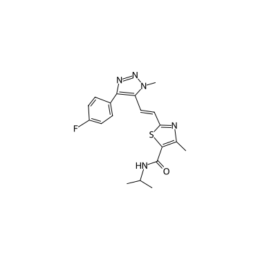 Cc1nc(/C=C/c2c(-c3ccc(F)cc3)nnn2C)sc1C(=O)NC(C)C